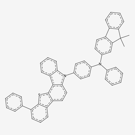 CC1(C)c2ccccc2-c2ccc(N(c3ccccc3)c3ccc(-n4c5ccccc5c5c6sc7c(-c8ccccc8)cccc7c6ccc54)cc3)cc21